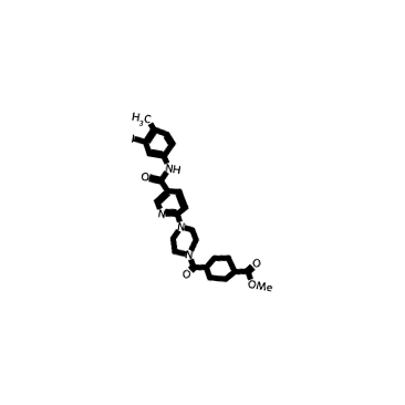 COC(=O)C1CCC(C(=O)N2CCN(c3ccc(C(=O)Nc4ccc(C)c(I)c4)cn3)CC2)CC1